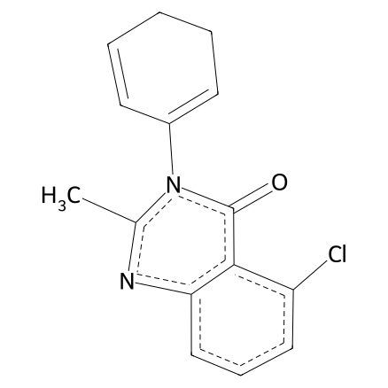 Cc1nc2cccc(Cl)c2c(=O)n1C1=CCCC=C1